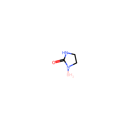 BN1CCNC1=O